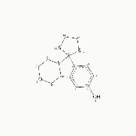 Oc1ccc(C2(C3CCOCC3)SCCS2)cc1